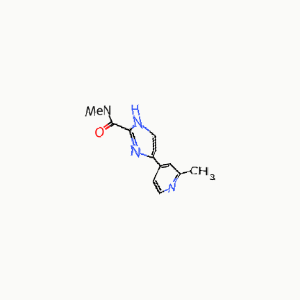 CNC(=O)c1nc(-c2ccnc(C)c2)c[nH]1